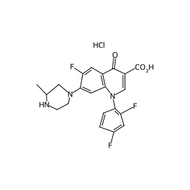 CC1CN(c2cc3c(cc2F)c(=O)c(C(=O)O)cn3-c2ccc(F)cc2F)CCN1.Cl